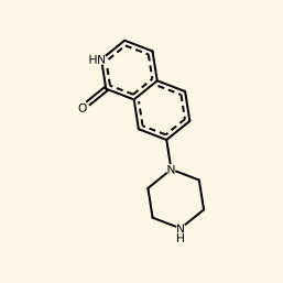 O=c1[nH]ccc2ccc(N3CCNCC3)cc12